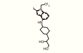 OCC(O)CC1CCC(Nc2cccc3c2cc(I)n3CC(F)(F)F)CC1